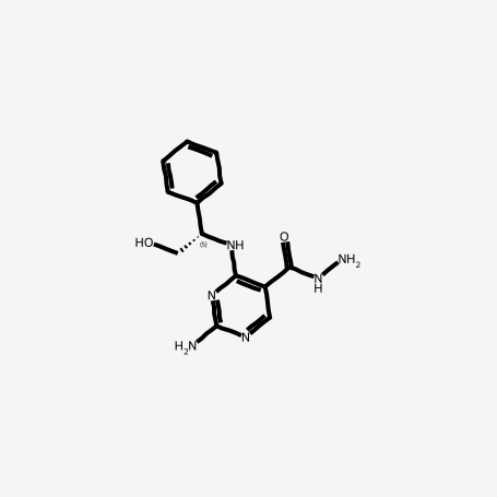 NNC(=O)c1cnc(N)nc1N[C@H](CO)c1ccccc1